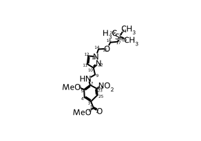 COC(=O)c1cc(OC)c(NCc2ccn(COCC[Si](C)(C)C)n2)c([N+](=O)[O-])c1